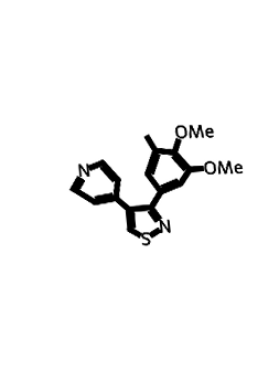 COc1cc(-c2nscc2-c2ccncc2)cc(C)c1OC